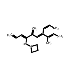 C=C/C=C(\NN1CCC1)C(=C)/C=C(\C=C/N)C(/C)=C/N